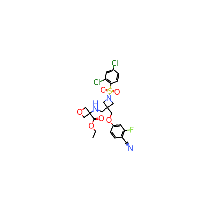 CCOC(=O)C1(NCC2(COc3ccc(C#N)c(F)c3)CN(S(=O)(=O)c3ccc(Cl)cc3Cl)C2)COC1